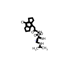 CC(C)N/C=C\C(=N)S(=O)(=O)NC(=O)Cc1c2c(c(Cl)c3c1CCC3)CCC2